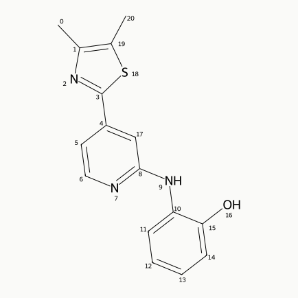 Cc1nc(-c2ccnc(Nc3ccccc3O)c2)sc1C